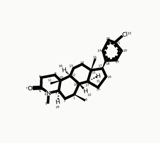 C[C@H]1C[C@H]2N(C)C(=O)CC[C@]2(C)[C@H]2CC[C@]3(C)[C@@H](c4ccc(Cl)cc4)CC[C@H]3[C@H]12